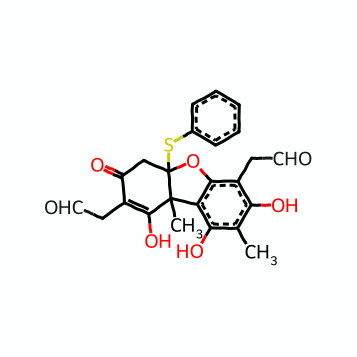 Cc1c(O)c(CC=O)c2c(c1O)C1(C)C(O)=C(CC=O)C(=O)CC1(Sc1ccccc1)O2